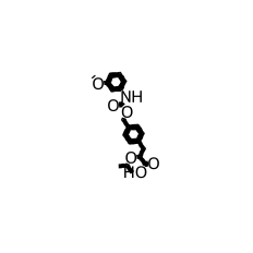 COc1cccc(NC(=O)OCc2ccc(CC(OC(C)C)C(=O)O)cc2)c1